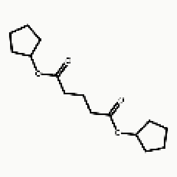 O=C(CCCC(=O)OC1CCCC1)OC1CCCC1